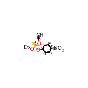 C#COP(=S)(OCC)Oc1ccc([N+](=O)[O-])cc1